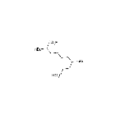 CCCCC(CCCCC(CCCC)C(=O)O)CCC(=O)O